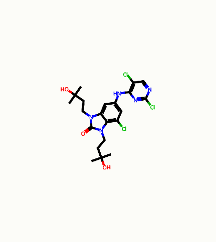 CC(C)(O)CCn1c(=O)n(CCC(C)(C)O)c2c(Cl)cc(Nc3nc(Cl)ncc3Cl)cc21